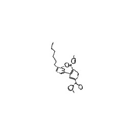 CCCCCCc1ccc(-c2cc(C(=O)OC)ccc2C(=O)OC)s1